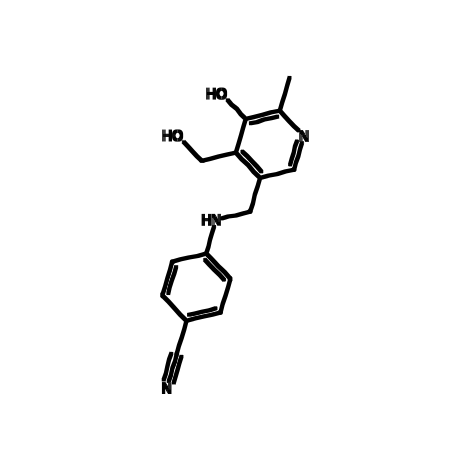 Cc1ncc(CNc2ccc(C#N)cc2)c(CO)c1O